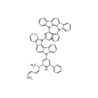 C/C=C\C=C/C(C)C1C=C(n2c3ccccc3c3c4c(ccc32)c2c(n4-c3cccc(-n4c5ccccc5c5ccc6c7ccccc7n(-c7ccccc7)c6c54)n3)CCC=C2)C=C(c2ccccc2)N1